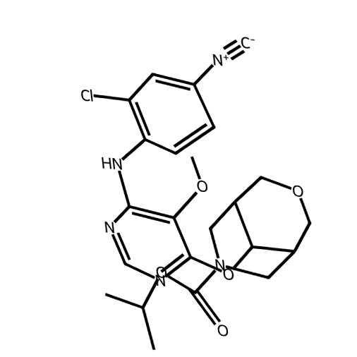 [C-]#[N+]c1ccc(Nc2ncnc(OC3C4COCC3CN(C(=O)OC(C)C)C4)c2OC)c(Cl)c1